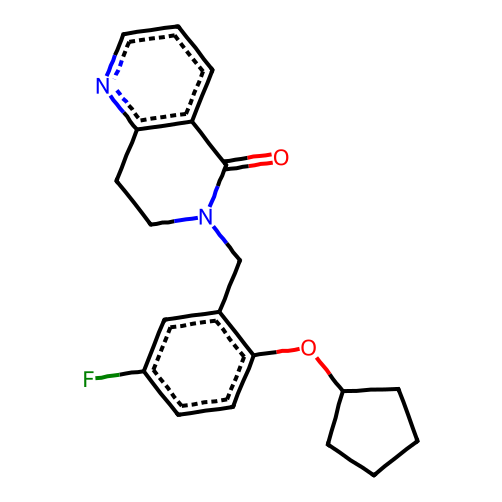 O=C1c2cccnc2CCN1Cc1cc(F)ccc1OC1CCCC1